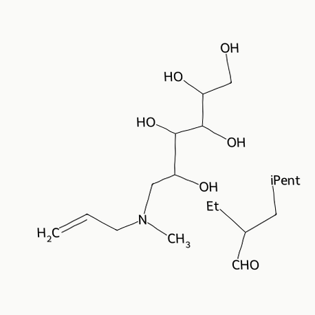 C=CCN(C)CC(O)C(O)C(O)C(O)CO.CCCC(C)CC(C=O)CC